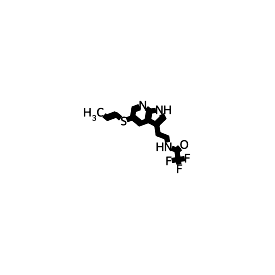 CC=CSc1cnc2[nH]cc(CCNC(=O)C(F)(F)F)c2c1